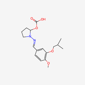 COc1ccc(C=NN2CCCC2OC(=O)O)cc1OCC(C)C